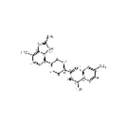 Cc1nc2c(C)ncc(C3CCN(C(=O)NC(C)c4ccc([N+](=O)[O-])cc4)CC3)c2[nH]1